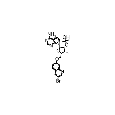 C[C@H]1[C@@H](OC(C)(C)O)[C@H](n2ccc3c(N)ncnc32)O[C@@H]1COc1ccc2cc(Br)cnc2c1